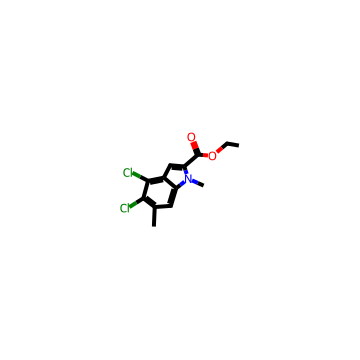 CCOC(=O)c1cc2c(Cl)c(Cl)c(C)cc2n1C